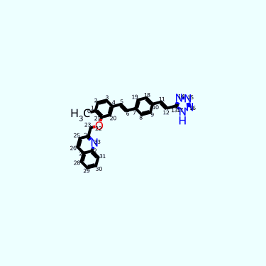 Cc1ccc(C=Cc2ccc(C=Cc3nnn[nH]3)cc2)cc1OCc1ccc2ccccc2n1